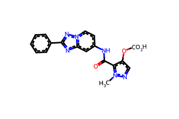 Cn1ncc(OC(=O)O)c1C(=O)Nc1ccn2nc(-c3ccccc3)nc2c1